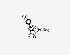 CCCCCCCCCCC(CCCCCCCC)CN1C(=O)C(=O)c2sc(-c3ccc(C(F)(F)F)cc3)nc21